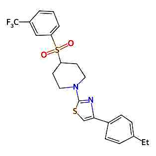 CCc1ccc(-c2csc(N3CCC(S(=O)(=O)c4cccc(C(F)(F)F)c4)CC3)n2)cc1